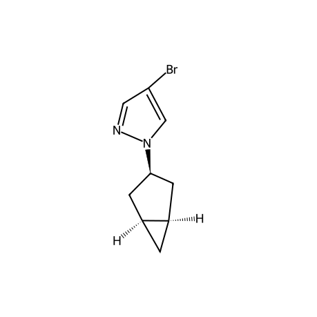 Brc1cnn([C@H]2C[C@H]3C[C@H]3C2)c1